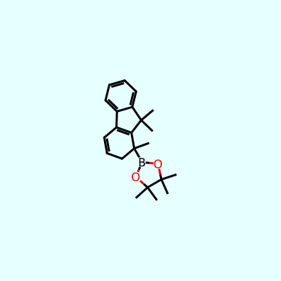 CC1(B2OC(C)(C)C(C)(C)O2)CC=CC2=C1C(C)(C)c1ccccc12